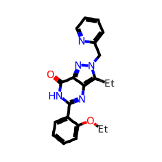 CCOc1ccccc1-c1nc2c(CC)n(Cc3ccccn3)nc2c(=O)[nH]1